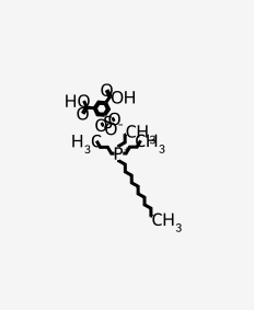 CCCCCCCCCCCC[P+](CCCC)(CCCC)CCCC.O=C(O)c1cc(C(=O)O)cc(S(=O)(=O)[O-])c1